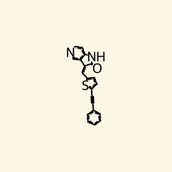 O=C1Nc2ccncc2C1=Cc1ccc(C#Cc2ccccc2)s1